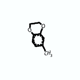 Cc1[c]cc2c(c1)OCCO2